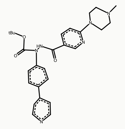 CN1CCN(c2ccc(C(=O)NN(C(=O)OC(C)(C)C)c3ccc(-c4ccncc4)cc3)cn2)CC1